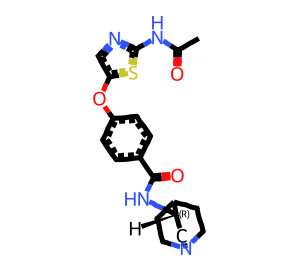 CC(=O)Nc1ncc(Oc2ccc(C(=O)N[C@H]3CN4CCC3CC4)cc2)s1